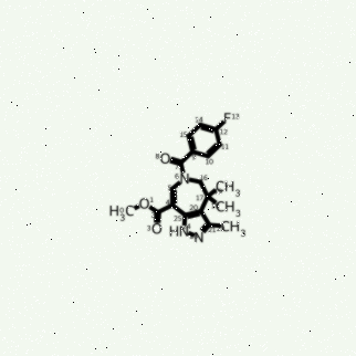 COC(=O)C1=CN(C(=O)c2ccc(F)cc2)CC(C)(C)c2c(C)n[nH]c21